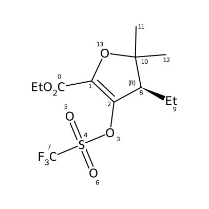 CCOC(=O)C1=C(OS(=O)(=O)C(F)(F)F)[C@H](CC)C(C)(C)O1